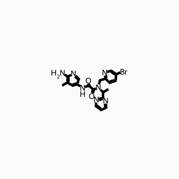 Cc1cc(NC(=O)C(=O)N(Cc2ccc(Br)cn2)C(C)c2ncccn2)cnc1N